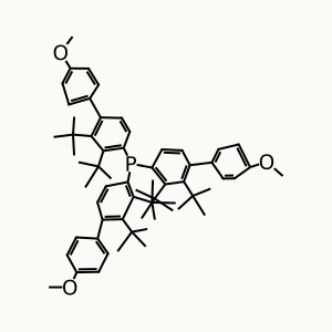 COc1ccc(-c2ccc(P(c3ccc(-c4ccc(OC)cc4)c(C(C)(C)C)c3C(C)(C)C)c3ccc(-c4ccc(OC)cc4)c(C(C)(C)C)c3C(C)(C)C)c(C(C)(C)C)c2C(C)(C)C)cc1